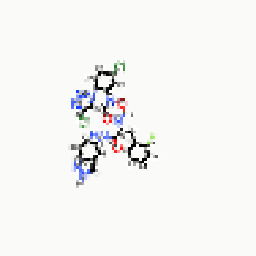 Cn1cc2cc(NC(=O)C(Cc3ccccc3F)N3CON(c4cc(Cl)ccc4-n4cc(Cl)nn4)CO3)ccc2n1